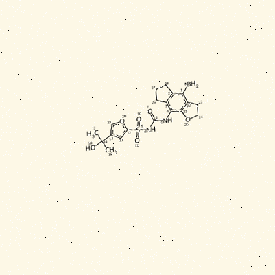 Bc1c2c(c(NC(=O)NS(=O)(=O)c3cc(C(C)(C)O)co3)c3c1CCO3)CCC2